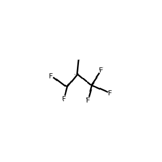 C[C](C(F)F)C(F)(F)F